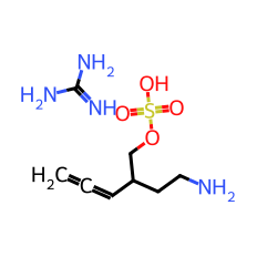 C=C=CC(CCN)COS(=O)(=O)O.N=C(N)N